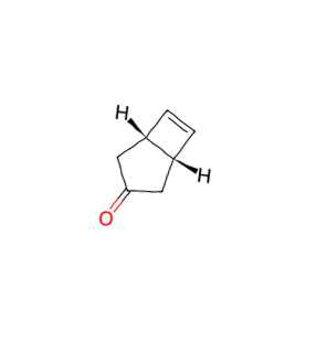 O=C1C[C@H]2C=C[C@H]2C1